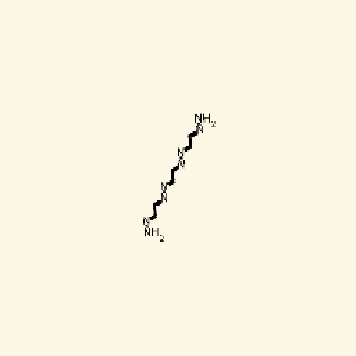 N/N=C/C=N/N=C/C=N/N=C/C=N/N